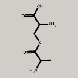 CC(N)C(=O)SCC(N)C(=O)O